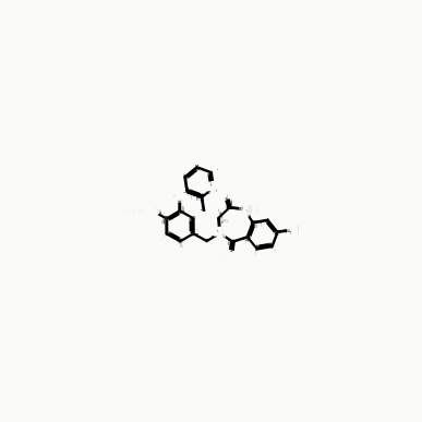 COc1cc(CN2C(=O)c3ccc(Cl)cc3NC(=O)[C@H]2Cc2ccccn2)ccc1C(=O)O